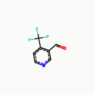 O=Cc1cnccc1C(F)(F)F